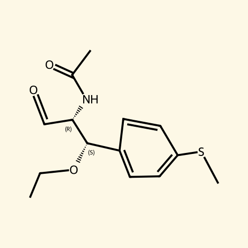 CCO[C@@H](c1ccc(SC)cc1)[C@H](C=O)NC(C)=O